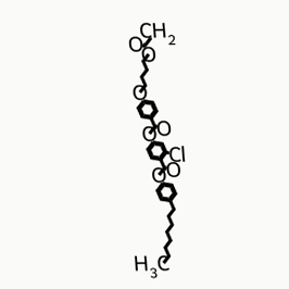 C=CC(=O)OCCCCOc1ccc(C(=O)Oc2ccc(C(=O)Oc3ccc(CCCCCCCC)cc3)c(Cl)c2)cc1